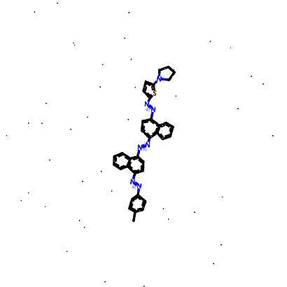 Cc1ccc(/N=N/c2ccc(/N=N/c3ccc(/N=N/c4ccc(N5CCCC5)s4)c4ccccc34)c3ccccc23)cc1